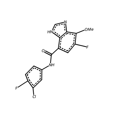 COc1c(F)cc(C(=O)Nc2ccc(F)c(Cl)c2)c2[nH]cnc12